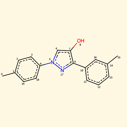 Cc1ccc(-n2cc(O)c(-c3cccc(C)c3)n2)cc1